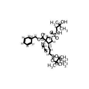 CC(C)(O)CNS(=O)(=O)N1C[C@@H](CCCB2OC(C)(C)C(C)(C)O2)[C@@](N=[N+]=[N-])(C(=O)OCc2ccccc2)C1